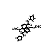 COC(=O)c1ccc(C(=O)NC2CCCC2)c2c(COC=O)ccc(C(=O)NC3CCCC3)c12